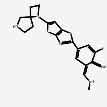 CN/C=C1/C=C(c2nc3sc(N4CCC45CCNC5)cc3s2)C=C(F)C1=N